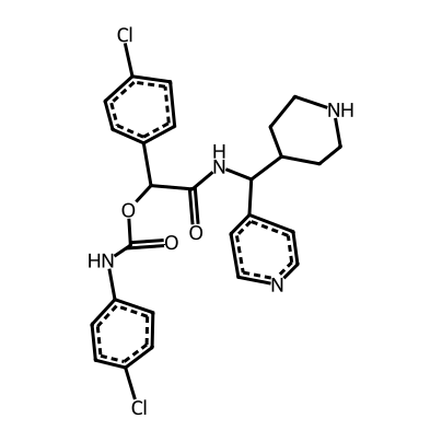 O=C(Nc1ccc(Cl)cc1)OC(C(=O)NC(c1ccncc1)C1CCNCC1)c1ccc(Cl)cc1